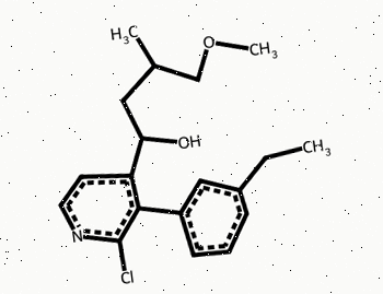 CCc1cccc(-c2c(C(O)CC(C)COC)ccnc2Cl)c1